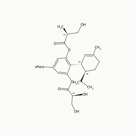 C=C(C)[C@@H]1CCC(C)=C[C@H]1c1c(OC(=O)[C@@H](C)CO)cc(CCCCC)cc1OC(=O)[C@@H](O)CO